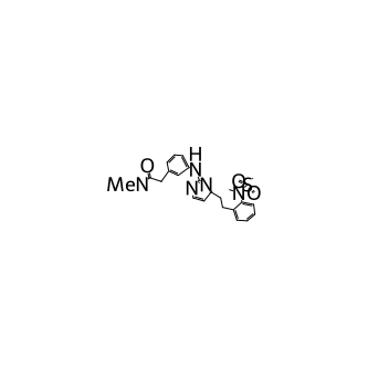 CNC(=O)Cc1cccc(Nc2nccc(CCc3ccccc3N(C)S(C)(=O)=O)n2)c1